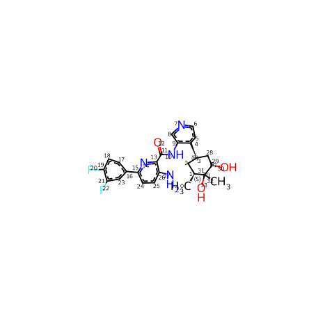 C[C@H]1C[C@@H](c2ccncc2NC(=O)c2nc(-c3ccc(F)c(F)c3)ccc2N)C[C@@H](O)[C@]1(C)O